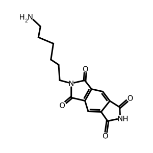 NCCCCCCn1c(=O)c2cc3c(=O)[nH]c(=O)c3cc2c1=O